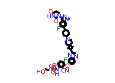 CN(CCO)S(=O)(=O)Nc1ccc(F)c(Oc2ccc3ncc(C4CC5(CCN(C6CCC(c7cc8c(cc7F)c(N7CCC(=O)NC7=O)nn8C)CC6)CC5)C4)nc3c2)c1C#N